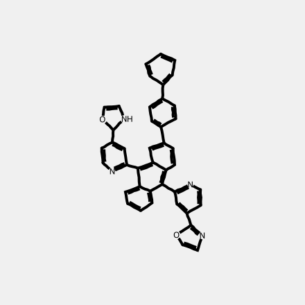 C1=COC(c2ccnc(-c3c4ccccc4c(-c4cc(-c5ncco5)ccn4)c4ccc(-c5ccc(-c6ccccc6)cc5)cc34)c2)N1